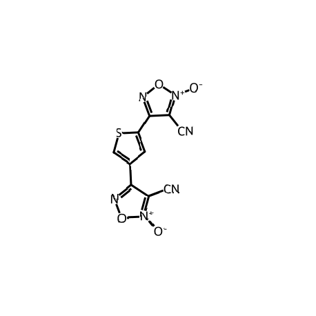 N#Cc1c(-c2csc(-c3no[n+]([O-])c3C#N)c2)no[n+]1[O-]